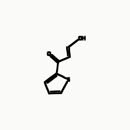 O=C(C=CO)c1cccs1